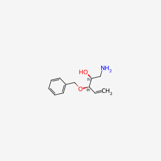 C=C[C@@H](OCc1ccccc1)[C@@H](O)CN